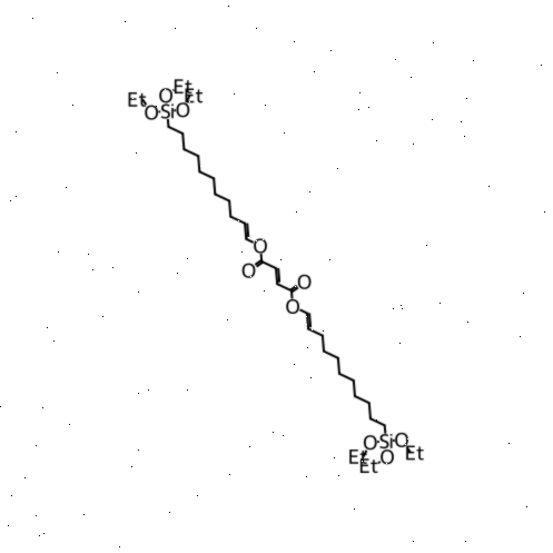 CCO[Si](CCCCCCCCCC=COC(=O)/C=C/C(=O)OC=CCCCCCCCCC[Si](OCC)(OCC)OCC)(OCC)OCC